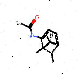 CCC(=O)NC1=CC=C2C(C)C1(C)[C@H]2C